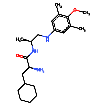 COc1c(C)cc(NC[C@H](C)NC(=O)[C@@H](N)CC2CCCCC2)cc1C